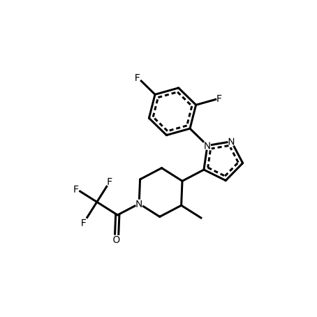 CC1CN(C(=O)C(F)(F)F)CCC1c1ccnn1-c1ccc(F)cc1F